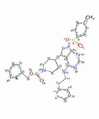 Cc1ccc(S(=O)(=O)n2ccc3c(N(CCc4ccccc4)[C@H]4CCCN(C(=O)OCc5ccccc5)C4)ncnc32)cc1